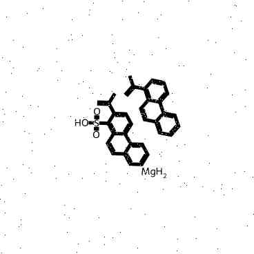 C=C(C)c1ccc2c(ccc3ccccc32)c1S(=O)(=O)O.C=C(C)c1cccc2c1ccc1ccccc12.[MgH2]